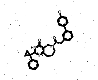 O=C(Cc1cccc(-c2ccc(Cl)cc2)c1)N1CCCc2nc(C3(c4ccccc4)CC3)[nH]c(=O)c2C1